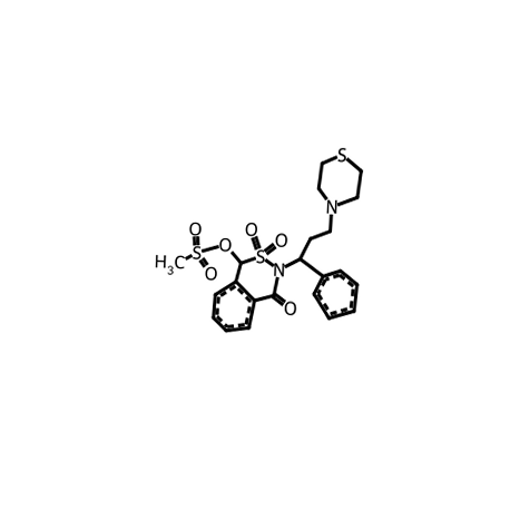 CS(=O)(=O)OC1c2ccccc2C(=O)N(C(CCN2CCSCC2)c2ccccc2)S1(=O)=O